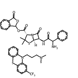 CC1(C)S[C@@H]2[C@H](NC(=O)C(N)c3ccccc3)C(=O)N2[C@H]1C(=O)OC1OC(=O)c2ccccc21.CN(C)CCCN1c2ccccc2Sc2ccc(C(F)(F)F)cc21